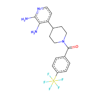 Nc1nccc(C2CCN(C(=O)c3ccc(S(F)(F)(F)(F)F)cc3)CC2)c1N